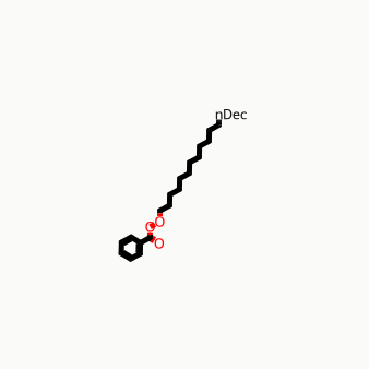 CCCCCCCCCCCCCCCCCCCCCCOOC(=O)c1ccccc1